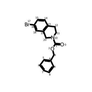 O=C(OCc1ccccc1)N1CCc2ccc(Br)cc2C1